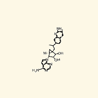 CC(C[C@]12C[C@@H]1[C@@H](n1ccc3c(N)ncnc31)[C@H](O)[C@@H]2O)c1ccc2ccc(N)nc2c1